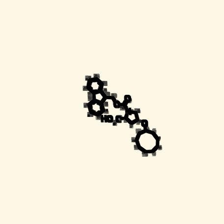 O=C(O)[C@@H]1C[C@@H](OC2CCCCCCCC2)CN1C(=O)OCC1c2ccccc2-c2ccccc21